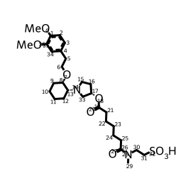 COc1ccc(CCO[C@@H]2CCCC[C@H]2N2CC[C@H](OC(=O)CCCCCC(=O)N(C)CCS(=O)(=O)O)C2)cc1OC